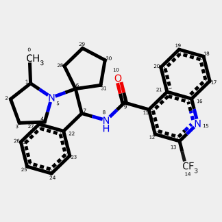 CC1CCCN1C1(C(NC(=O)c2cc(C(F)(F)F)nc3ccccc23)c2ccccc2)CCCC1